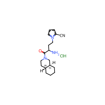 Cl.N#Cc1cccn1CCC(N)C(=O)N1CC[C@H]2CCCC[C@@H]2C1